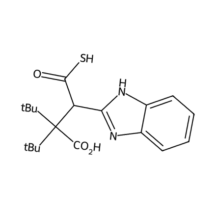 CC(C)(C)C(C(=O)O)(C(C(=O)S)c1nc2ccccc2[nH]1)C(C)(C)C